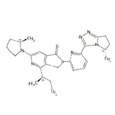 CC[C@@H](C)c1nc(N2CCC[C@H]2C)cc2c1CN(c1cccc(-c3nnc4n3[C@@H](C)CC4)n1)C2=O